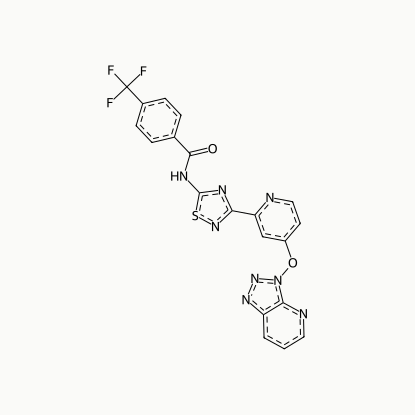 O=C(Nc1nc(-c2cc(On3nnc4cccnc43)ccn2)ns1)c1ccc(C(F)(F)F)cc1